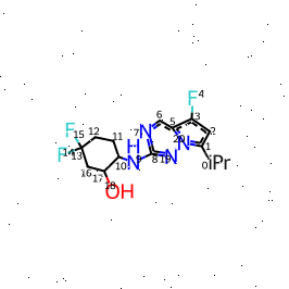 CC(C)c1cc(F)c2cnc(NC3CCC(F)(F)CC3O)nn12